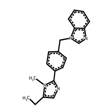 CCc1cnc(-c2ccc(Cn3cnc4ccccc43)cc2)n1C